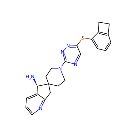 N[C@@H]1c2cccnc2CC12CCN(c1ncc(Sc3cccc4c3CC4)nn1)CC2